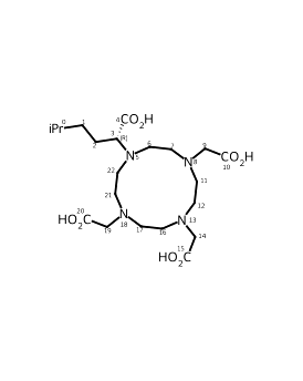 CC(C)CC[C@H](C(=O)O)N1CCN(CC(=O)O)CCN(CC(=O)O)CCN(CC(=O)O)CC1